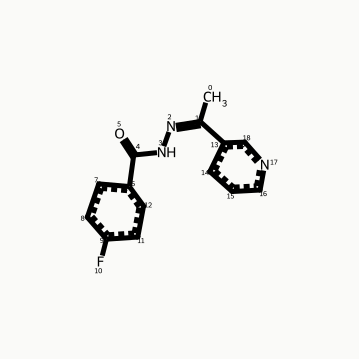 CC(=NNC(=O)c1ccc(F)cc1)c1cccnc1